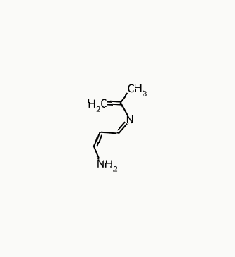 C=C(C)/N=C\C=C/N